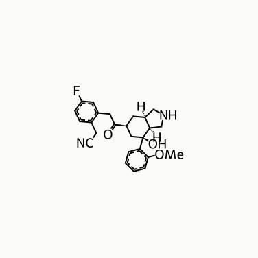 COc1ccccc1[C@]1(O)C[C@@H](C(=O)Cc2cc(F)ccc2CC#N)C[C@H]2CNC[C@H]21